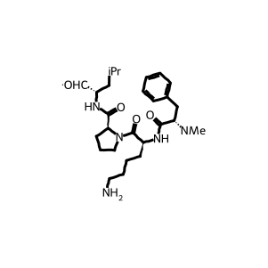 CN[C@@H](Cc1ccccc1)C(=O)N[C@@H](CCCCN)C(=O)N1CCC[C@H]1C(=O)N[C@H]([C]=O)CC(C)C